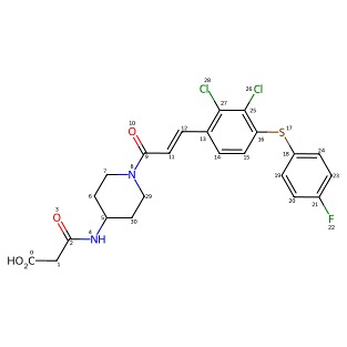 O=C(O)CC(=O)NC1CCN(C(=O)/C=C/c2ccc(Sc3ccc(F)cc3)c(Cl)c2Cl)CC1